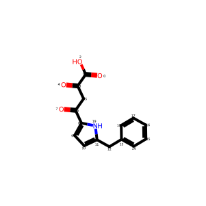 O=C(O)C(=O)CC(=O)c1ccc(Cc2ccccc2)[nH]1